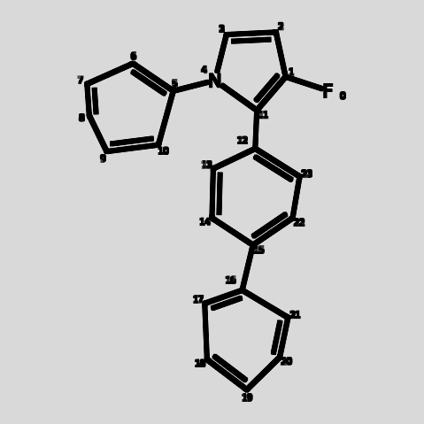 Fc1ccn(-c2ccccc2)c1-c1ccc(-c2ccccc2)cc1